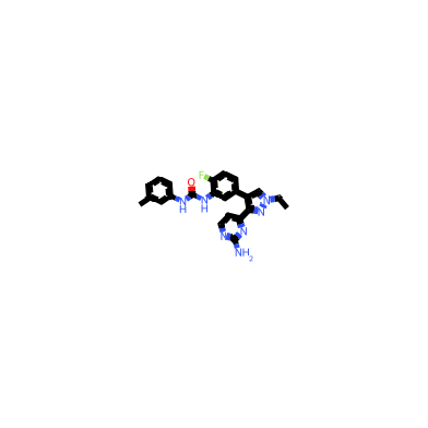 CCn1cc(-c2ccc(F)c(NC(=O)Nc3cccc(C)c3)c2)c(-c2ccnc(N)n2)n1